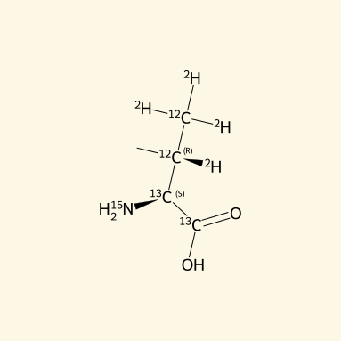 [2H][12C]([2H])([2H])[12C@@]([2H])(C)[13C@H]([15NH2])[13C](=O)O